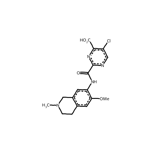 COc1cc2c(cc1NC(=O)c1ncc(Cl)c(C(=O)O)n1)CN(C)CC2